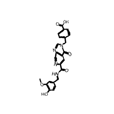 COc1cc(CNC(=O)c2cc3c(=O)n(Cc4ccc(C(=O)O)cc4)cnc3cn2)ccc1O